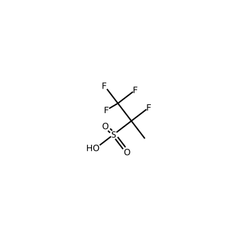 CC(F)(C(F)(F)F)S(=O)(=O)O